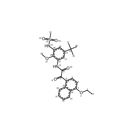 CCOc1ccc(C(=O)C(=O)Nc2cc(C(C)(C)C)cc(NS(C)(=O)=O)c2OC)c2ccccc12